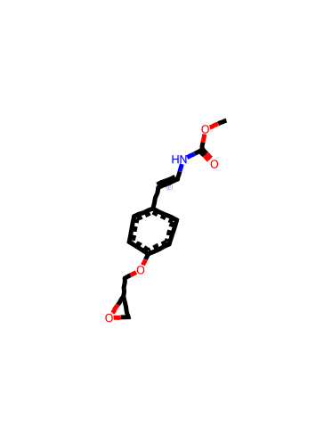 COC(=O)N/C=C/c1ccc(OCC2CO2)cc1